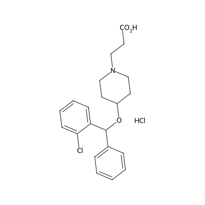 Cl.O=C(O)CCN1CCC(OC(c2ccccc2)c2ccccc2Cl)CC1